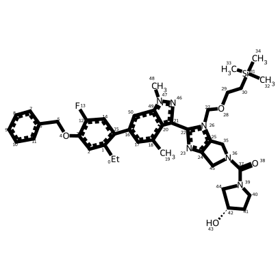 CCc1cc(OCc2ccccc2)c(F)cc1-c1cc(C)c2c(-c3nc4c(n3COCC[Si](C)(C)C)CN(C(=O)N3CC[C@H](O)C3)C4)nn(C)c2c1